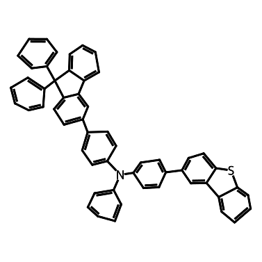 c1ccc(N(c2ccc(-c3ccc4c(c3)-c3ccccc3C4(c3ccccc3)c3ccccc3)cc2)c2ccc(-c3ccc4sc5ccccc5c4c3)cc2)cc1